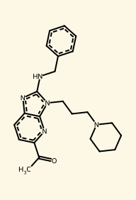 CC(=O)c1ccc2nc(NCc3ccccc3)n(CCCN3CCCCC3)c2n1